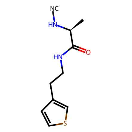 [C-]#[N+]N[C@@H](C)C(=O)NCCc1ccsc1